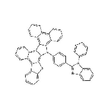 c1ccc(-n2c(-c3ccc(-n4c5c6ccccc6c6ccccc6c5c5c6ccccc6c6c7ccccc7sc6c54)cc3)nc3ccccc32)cc1